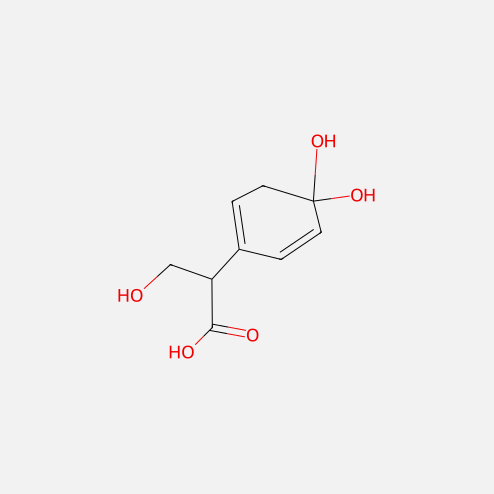 O=C(O)C(CO)C1=CCC(O)(O)C=C1